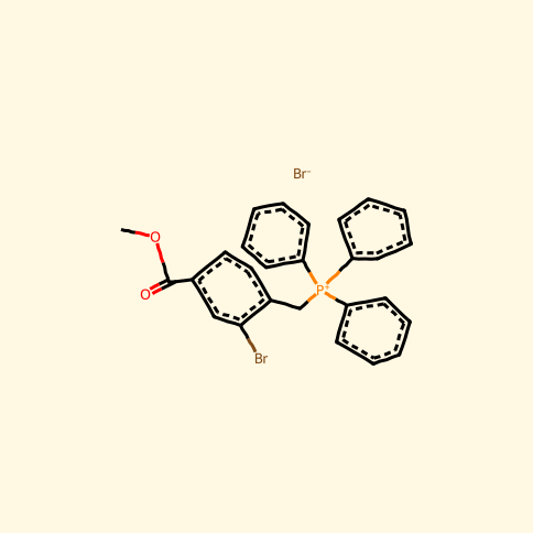 COC(=O)c1ccc(C[P+](c2ccccc2)(c2ccccc2)c2ccccc2)c(Br)c1.[Br-]